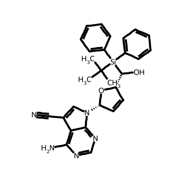 CC(C)(C)[Si](c1ccccc1)(c1ccccc1)C(O)[C@@H]1C=C[C@H](n2cc(C#N)c3c(N)ncnc32)O1